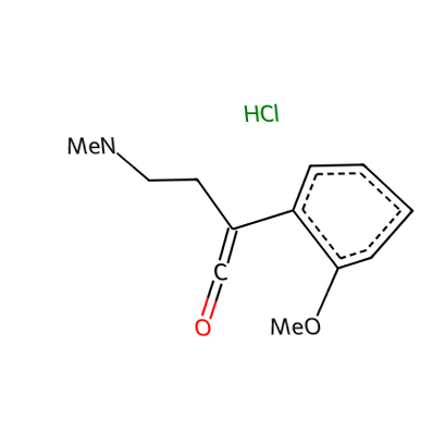 CNCCC(=C=O)c1ccccc1OC.Cl